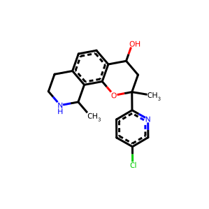 CC1NCCc2ccc3c(c21)OC(C)(c1ccc(Cl)cn1)CC3O